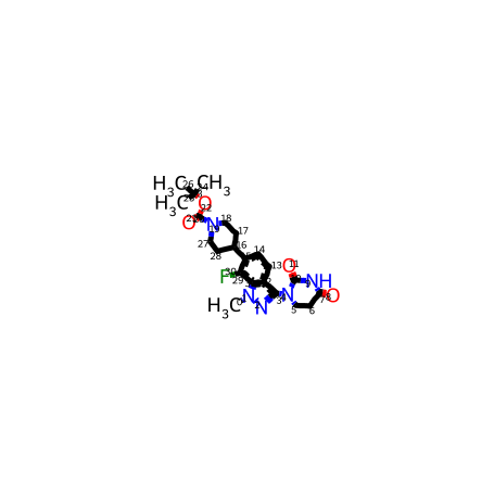 Cn1nc(N2CCC(=O)NC2=O)c2ccc(C3CCN(C(=O)OC(C)(C)C)CC3)c(F)c21